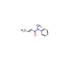 C/C=C/C(=O)N(C)c1ccccc1